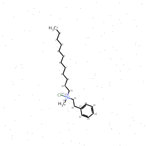 CCCCCCCCCCCC[N+](C)(Cl)CCc1ccccc1